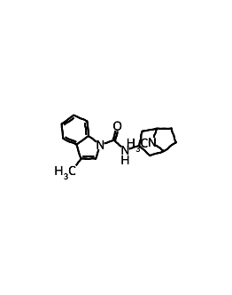 Cc1cn(C(=O)NC2CC3CCC(C2)N3C)c2ccccc12